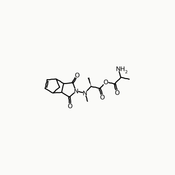 CC(N)C(=O)OC(=O)[C@H](C)N(C)N1C(=O)C2C3C=CC(C3)C2C1=O